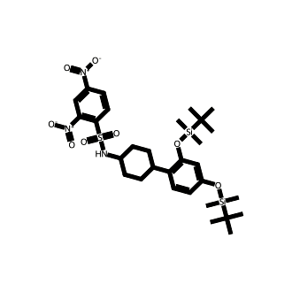 CC(C)(C)[Si](C)(C)Oc1ccc(C2CCC(NS(=O)(=O)c3ccc([N+](=O)[O-])cc3[N+](=O)[O-])CC2)c(O[Si](C)(C)C(C)(C)C)c1